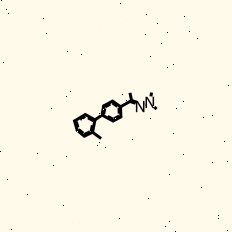 C/C(=N\N(C)C)c1ccc(-c2ccccc2C)cc1